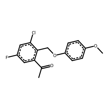 COc1ccc(OCc2c(Cl)cc(F)cc2C(C)=O)cc1